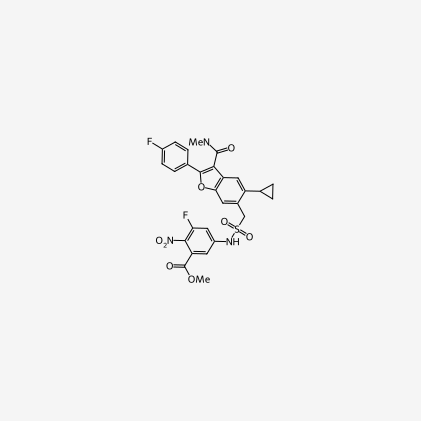 CNC(=O)c1c(-c2ccc(F)cc2)oc2cc(CS(=O)(=O)Nc3cc(F)c([N+](=O)[O-])c(C(=O)OC)c3)c(C3CC3)cc12